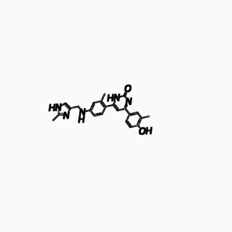 Cc1nc(CNc2ccc(-c3cc(-c4ccc(O)c(C)c4)nc(=O)[nH]3)c(C)c2)c[nH]1